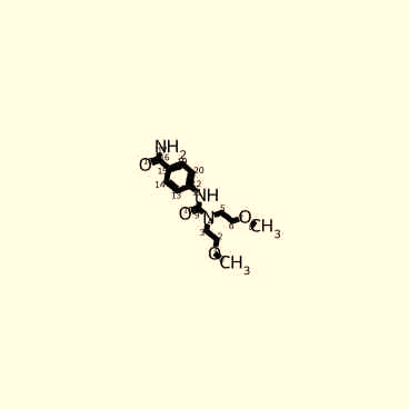 COCCN(CCOC)C(=O)Nc1ccc(C(N)=O)cc1